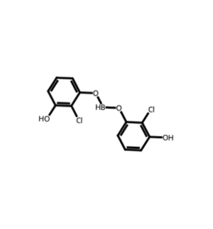 Oc1cccc(OBOc2cccc(O)c2Cl)c1Cl